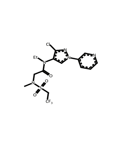 CCN(C(=O)CN(C)S(=O)(=O)CC(F)(F)F)c1cn(-c2cccnc2)nc1Cl